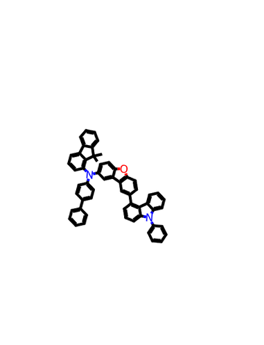 CC1(C)c2ccccc2-c2cccc(N(c3ccc(-c4ccccc4)cc3)c3ccc4oc5ccc(-c6cccc7c6c6ccccc6n7-c6ccccc6)cc5c4c3)c21